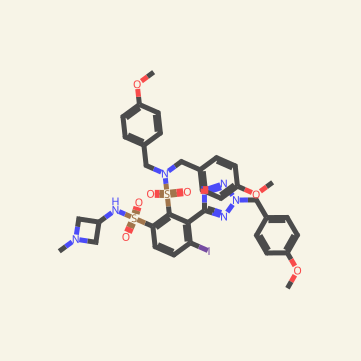 COc1ccc(CN(Cc2ccc(OC)cc2)S(=O)(=O)c2c(S(=O)(=O)NC3CN(C)C3)ccc(I)c2-c2nnn(Cc3ccc(OC)cc3)n2)cc1